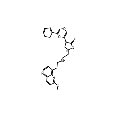 COc1ccc2nccc(CCNCC[C@H]3CN(C4=COC=C(C5=CC=CCC5)O4)C(=O)O3)c2n1